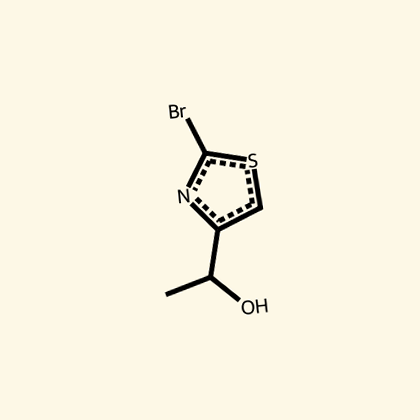 CC(O)c1csc(Br)n1